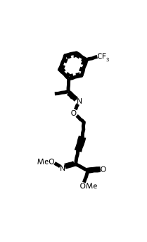 CON=C(C#CCON=C(C)c1cccc(C(F)(F)F)c1)C(=O)OC